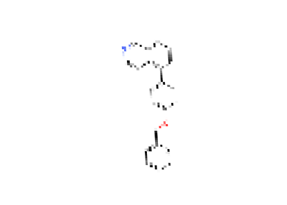 c1ccc(COc2ccc(-c3cccc4cnccc34)cc2)cc1